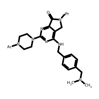 CC(=O)N1CCN(c2nc(NCc3ccc(CN(C)C)cc3)c3c(n2)C(=O)N(C(C)C)C3)CC1